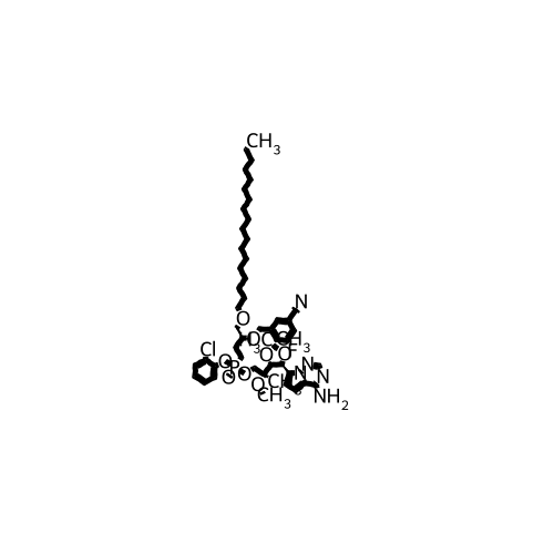 CCCCCCCCCCCCCCCCCCOC[C@H](CCP(=O)(OC[C@@](C)(OC)[C@H]1OC(C)(C)O[C@H]1c1ccc2c(N)ncnn12)Oc1ccccc1Cl)OCc1cc(F)cc(C#N)c1